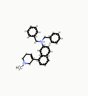 CN1CCC=C(c2cccc3ccc(N(Cc4ccccc4)Cc4ccccc4)cc23)C1